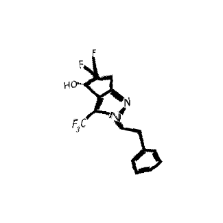 O[C@H]1c2c(nn(CCc3ccccc3)c2C(F)(F)F)CC1(F)F